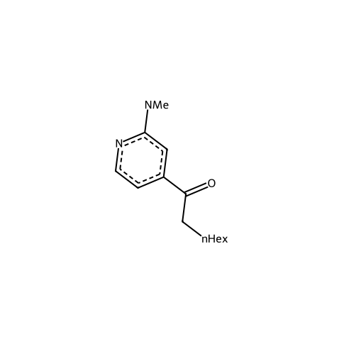 CCCCCCCC(=O)c1ccnc(NC)c1